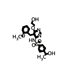 COc1ccccc1Cc1c(NS(=O)(=O)c2ccc(C(C)O)cc2)ncnc1OCCO